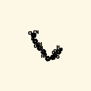 N#Cc1ccc(OC2CCC(NC(=O)c3ccc(N4CCC(CN[C@@H]5CCCN(c6ccc7c(c6)C(=O)N(C6CCC(=O)NC6=O)C7=O)C5)CC4)nn3)CC2)cc1Cl